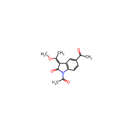 CO/C(C)=C1\C(=O)N(C(C)=O)c2ccc(C(C)=O)cc21